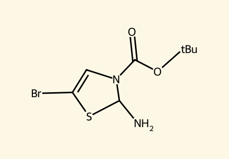 CC(C)(C)OC(=O)N1C=C(Br)SC1N